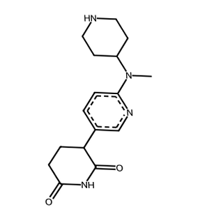 CN(c1ccc(C2CCC(=O)NC2=O)cn1)C1CCNCC1